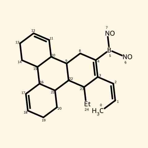 C/C=C\C1=C(B(N=O)N=O)CC2C3C=CCCC3C3C=CCCC3C2C1CC